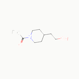 O=C(N1CCC(CCO)CC1)C(F)(F)F